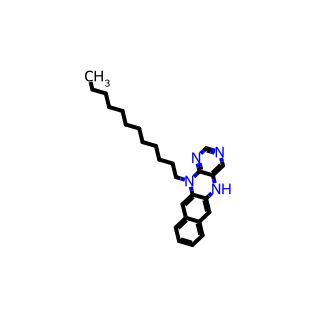 CCCCCCCCCCCCN1c2cc3ccccc3cc2Nc2cncnc21